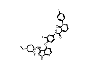 CCN1CC[C@@H](Nc2n[nH]c3nccc(Oc4ccc(NC(=O)c5ccnn(-c6ccc(F)cc6)c5=O)cc4F)c23)[C@H](F)C1